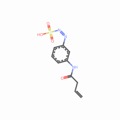 C=CCC(=O)Nc1cccc(/N=N\S(=O)(=O)O)c1